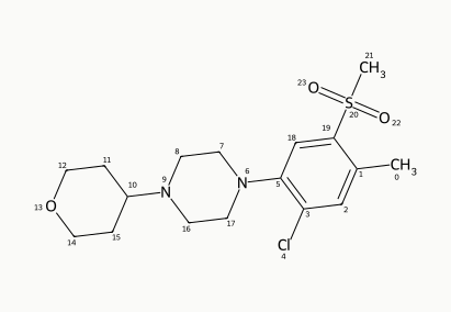 Cc1cc(Cl)c(N2CCN(C3CCOCC3)CC2)cc1S(C)(=O)=O